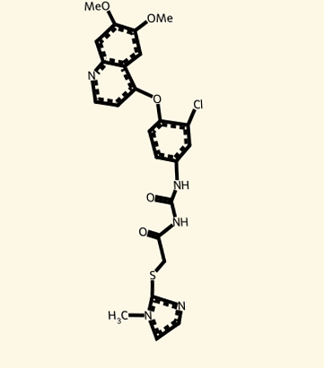 COc1cc2nccc(Oc3ccc(NC(=O)NC(=O)CSc4nccn4C)cc3Cl)c2cc1OC